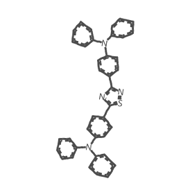 c1ccc(N(c2ccccc2)c2ccc(-c3nsc(-c4ccc(N(c5ccccc5)c5ccccc5)cc4)n3)cc2)cc1